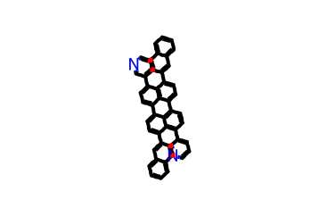 c1cncc(-c2ccc3c4ccc(-c5ccc6ccccc6c5)c5c(-c6cccnc6)ccc(c6ccc(-c7ccc8ccccc8c7)c2c36)c54)c1